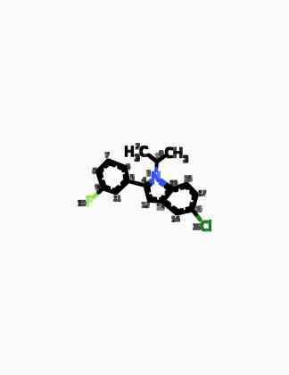 CC(C)n1c(-c2cccc(F)c2)cc2cc(Cl)ccc21